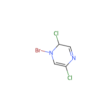 ClC1=CN(Br)C(Cl)C=N1